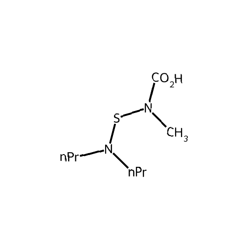 CCCN(CCC)SN(C)C(=O)O